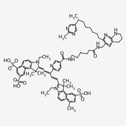 CCN1/C(=C/C=C(/C=C/C2=[N+](CC)c3ccc4c(C)cc(S(=O)(=O)O)cc4c3C2(C)C)c2ccc(C(=O)NCCCCCC(=O)NCc3cc4c(nc3CCCCCC[C@@H](C)c3cnc(C)nc3)NCCC4)cn2)C(C)(C)c2c1ccc1c(S(=O)(=O)O)cc(S(=O)(=O)O)cc21